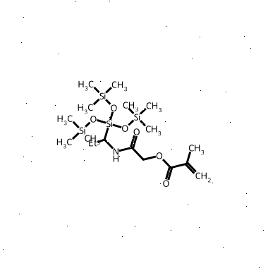 C=C(C)C(=O)OCC(=O)NC(CC)[Si](O[Si](C)(C)C)(O[Si](C)(C)C)O[Si](C)(C)C